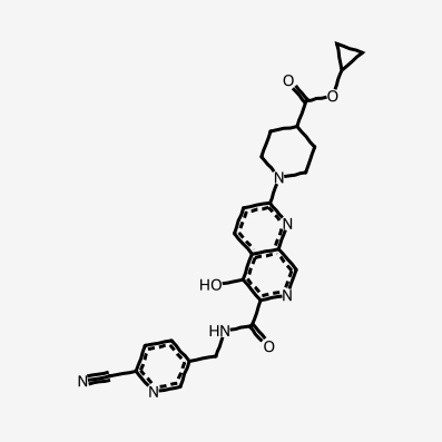 N#Cc1ccc(CNC(=O)c2ncc3nc(N4CCC(C(=O)OC5CC5)CC4)ccc3c2O)cn1